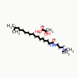 CC(C)CCCCCCCCCCCCCCC(=O)NCCCN(C)C.CC(O)C(=O)O